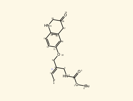 CC(C)(C)OC(=O)NC/C(=C\F)COc1ccc2c(c1)CC(=O)CN2